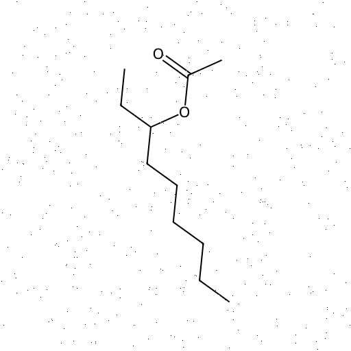 CCCCCCC(CC)OC(C)=O